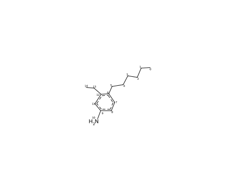 CCCCCCc1ccc(N)cc1CC